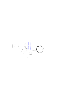 CC[C@@](NCc1ccccc1)(C(=O)O)C(C)C(=O)O